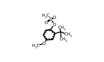 COc1ccc(OS(C)(=O)=O)c(C(C)(C)C)c1